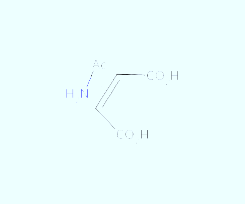 CC(N)=O.O=C(O)/C=C\C(=O)O